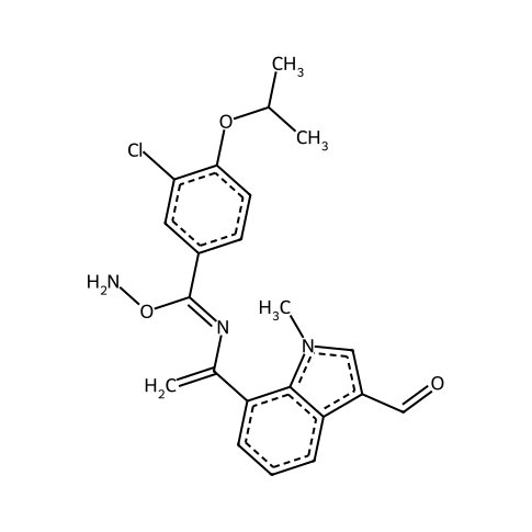 C=C(/N=C(\ON)c1ccc(OC(C)C)c(Cl)c1)c1cccc2c(C=O)cn(C)c12